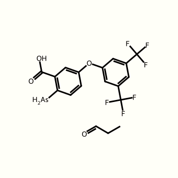 CCC=O.O=C(O)c1cc(Oc2cc(C(F)(F)F)cc(C(F)(F)F)c2)ccc1[AsH2]